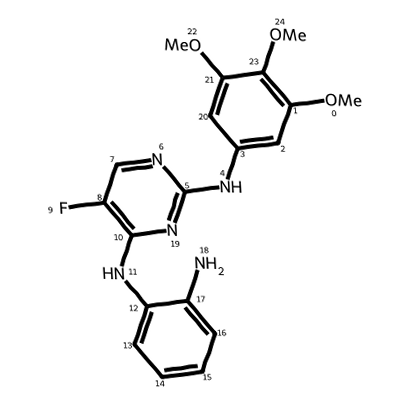 COc1cc(Nc2ncc(F)c(Nc3ccccc3N)n2)cc(OC)c1OC